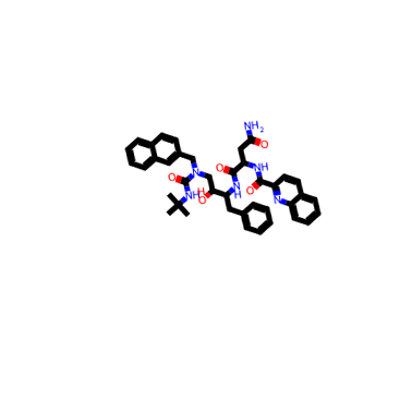 CC(C)(C)NC(=O)N(Cc1ccc2ccccc2c1)CC(O)C(Cc1ccccc1)NC(=O)C(CC(N)=O)NC(=O)c1ccc2ccccc2n1